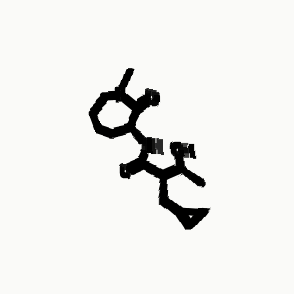 C[C@H](O)[C@@H](CC1CC1)C(=O)N[C@H]1CCCCN(C)C1=O